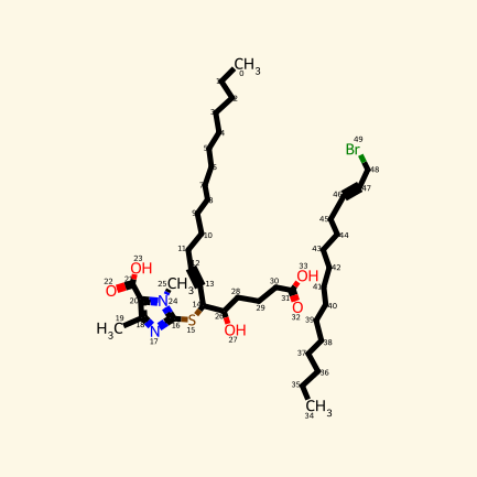 CCCCCCCCCCCCC#CC(Sc1nc(C)c(C(=O)O)n1C)C(O)CCCC(=O)O.CCCCCCCCCCCCC#CCBr